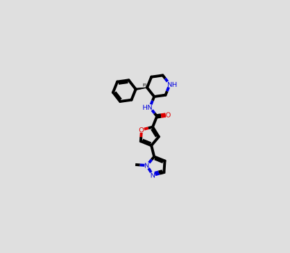 Cn1nccc1-c1coc(C(=O)NC2CNCC[C@@H]2C2C=CC=CC2)c1